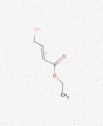 BC/C=C/C(=O)OCC